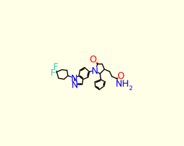 NC(=O)CCC1CC(=O)N(c2ccc3c(cnn3C3CCC(F)(F)CC3)c2)C1c1ccccc1